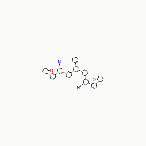 N#Cc1cc(-c2cccc(-c3cc(-c4ccccc4)cc(-c4cccc(-c5cc(C#N)cc(-c6cccc7c6oc6ccccc67)c5)c4)c3)c2)cc(-c2cccc3c2oc2ccccc23)c1